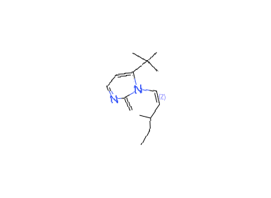 C=C1N=CC=C(C(C)(C)C)N1/C=C\C(C)CC